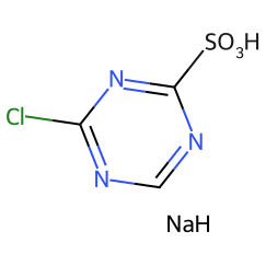 O=S(=O)(O)c1ncnc(Cl)n1.[NaH]